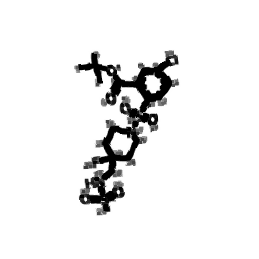 CC(C)(C)OC(=O)c1cc(Cl)ccc1S(=O)(=O)N1CCC(F)(CNS(C)(=O)=O)CC1